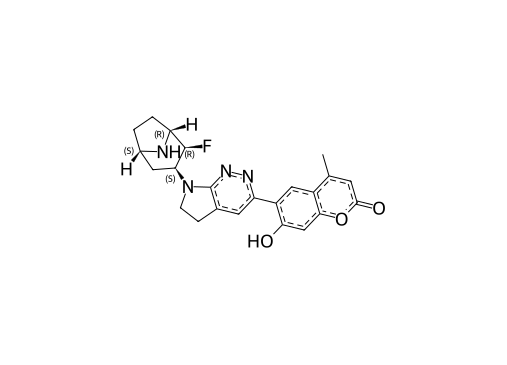 Cc1cc(=O)oc2cc(O)c(-c3cc4c(nn3)N([C@H]3C[C@@H]5CC[C@@H](N5)[C@H]3F)CC4)cc12